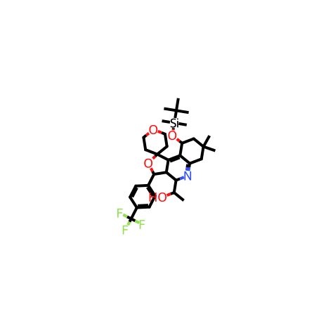 CC(O)C1N=C2CC(C)(C)CC(O[Si](C)(C)C(C)(C)C)C2=C2C1C(c1ccc(C(F)(F)F)cc1)OC21CCOCC1